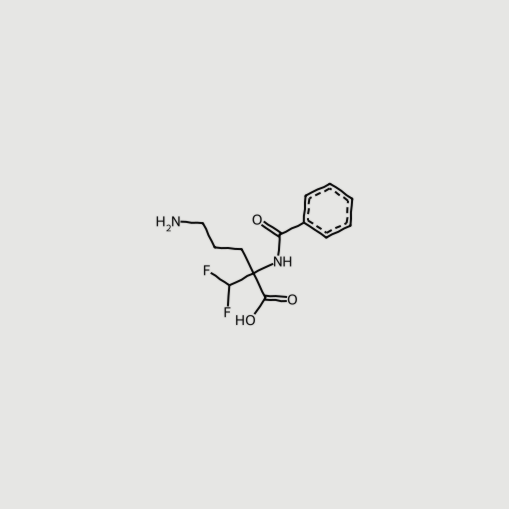 NCCCC(NC(=O)c1ccccc1)(C(=O)O)C(F)F